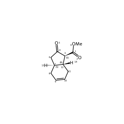 COC(=O)[C@@H]1C(=O)C[C@@H]2CC=CC[C@H]21